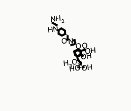 C[C@@H](CB(O)O)c1ccc(OC2CN(C(=O)C[C@H]3CC[C@H](NCCN)CC3)C2)c(C(=O)O)c1O